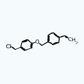 C=Cc1ccc(COc2ccc(CCl)cc2)cc1